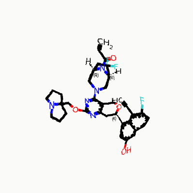 C#Cc1c(F)ccc2cc(O)cc([C@H]3Cc4nc(OCC56CCCN5CCC6)nc(N5C[C@H]6CC(F)(F)[C@@H](C5)N6C(=O)C=C)c4CO3)c12